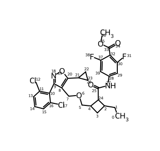 CCC1CC(COCc2c(-c3c(Cl)cccc3Cl)noc2C2CC2)C1C(=O)Nc1cc(F)c(C(=O)OC)c(F)c1